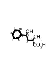 C[C@@H](CC(O)c1ccccc1)C(=O)O